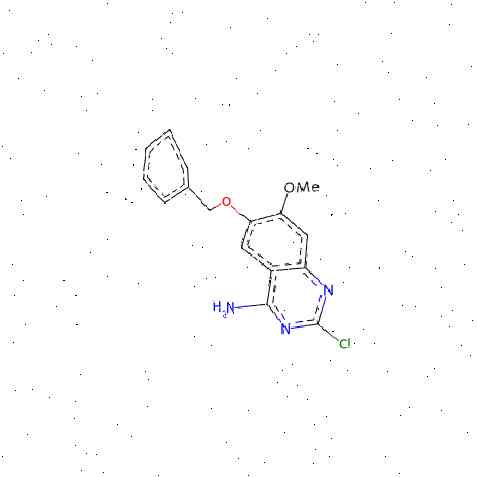 COc1cc2nc(Cl)nc(N)c2cc1OCc1ccccc1